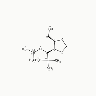 C[SiH](C)OC([C@@H]1CCC[C@@H]1CO)C(C)(C)C